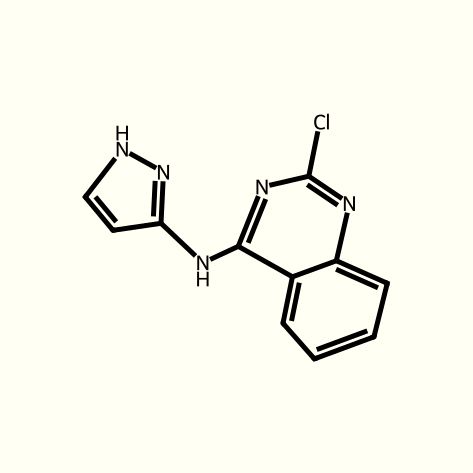 Clc1nc(Nc2cc[nH]n2)c2ccccc2n1